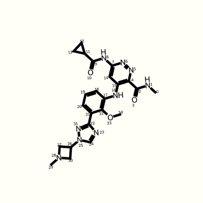 CNC(=O)c1nnc(NC(=O)C2CC2)cc1Nc1cccc(-c2ncn(C3CN(C)C3)n2)c1OC